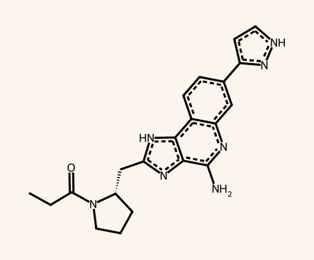 CCC(=O)N1CCC[C@H]1Cc1nc2c(N)nc3cc(-c4cc[nH]n4)ccc3c2[nH]1